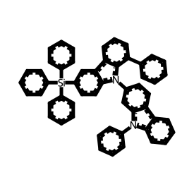 c1ccc(-c2cccc3c4cc([Si](c5ccccc5)(c5ccccc5)c5ccccc5)ccc4n(-c4ccc5c6ccccc6n(-c6ccccc6)c5c4)c23)cc1